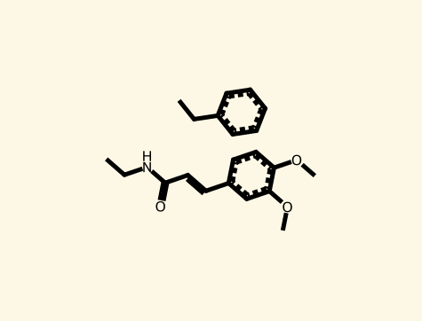 CCNC(=O)/C=C/c1ccc(OC)c(OC)c1.CCc1ccccc1